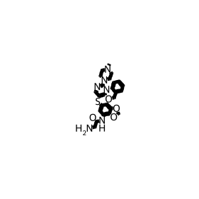 CN1CCN(c2ncc(Sc3cc(NC(=O)CN)c4c(c3)OCO4)c(OCc3ccccc3)n2)CC1